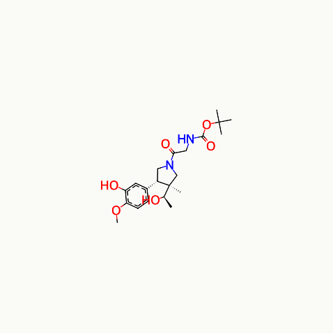 COc1ccc([C@@H]2CN(C(=O)CNC(=O)OC(C)(C)C)C[C@@]2(C)[C@@H](C)O)cc1O